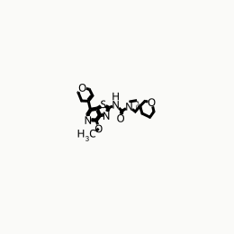 COc1ncc(C2=CCOCC2)c2sc(NC(=O)N3CC[C@]4(CCCOC4)C3)nc12